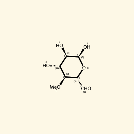 CO[C@H]1[C@H](O)[C@@H](O)[C@@H](O)O[C@@H]1C=O